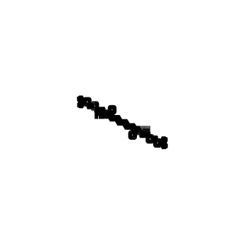 CC(C)OCOCCNC(=O)CCCCCCC(=O)NCCOCOC(C)C